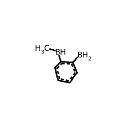 Bc1ccccc1BC